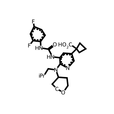 CC(C)CN(c1ncc(C2(C(=O)O)CCC2)cc1NC(=O)Nc1ccc(F)cc1F)C1CCOCC1